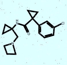 O=C(NC1(CN2CCC2)CC1)C1(c2cccc(Cl)c2)CC1